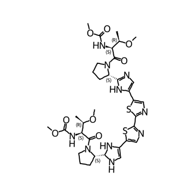 COC(=O)N[C@H](C(=O)N1CCC[C@H]1c1ncc(-c2cnc(-c3ncc(C4=CNC([C@@H]5CCCN5C(=O)[C@@H](NC(=O)OC)[C@@H](C)OC)N4)s3)s2)[nH]1)[C@@H](C)OC